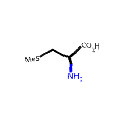 [CH2]SCC(N)C(=O)O